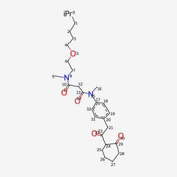 CC(C)CCCCOCCN(C)C(=O)CC(=O)N(C)c1ccc(CC(=O)C2CCCCC2=O)cc1